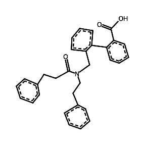 O=C(O)c1ccccc1-c1ccccc1CN(CCc1ccccc1)C(=O)CCc1ccccc1